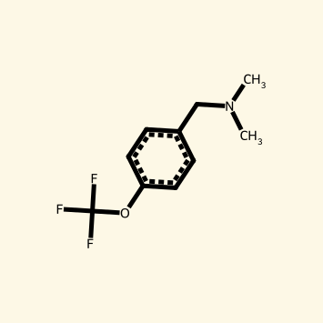 CN(C)Cc1ccc(OC(F)(F)F)cc1